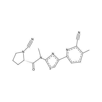 Cc1ccc(-c2csc(N(C)C(=O)[C@@H]3CCCN3C#N)n2)nc1C#N